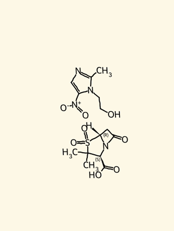 CC1(C)[C@H](C(=O)O)N2C(=O)C[C@H]2S1(=O)=O.Cc1ncc([N+](=O)[O-])n1CCO